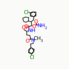 CN(CCc1ccc(Cl)cc1)C(=O)CCC(CO)NC(=O)C(OC(N)=O)C(Cc1cccc(Cl)c1)C1CCCCC1